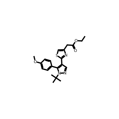 CCOC(=O)Cc1csc(-c2cnn(C(C)(C)C)c2-c2ccc(OC)cc2)n1